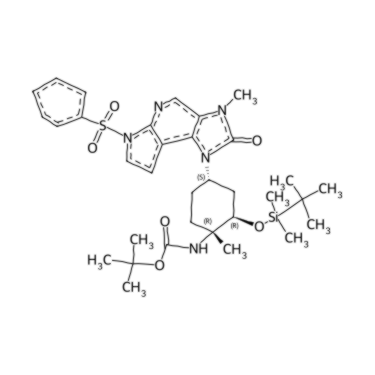 Cn1c(=O)n([C@H]2CC[C@@](C)(NC(=O)OC(C)(C)C)[C@H](O[Si](C)(C)C(C)(C)C)C2)c2c3ccn(S(=O)(=O)c4ccccc4)c3ncc21